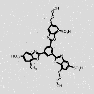 Cc1cc(S(=O)(=O)O)cc2nc(-c3cc(-c4nc5cc(S(=O)(=O)O)cc(SOOO)c5o4)cc(-c4nc5cc(SOOO)cc(S(=O)(=O)O)c5o4)c3)oc12